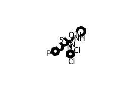 O=C(NN1CCCCCC1)c1nn(-c2ccc(Cl)cc2Cl)c2c1CSC/C2=C\c1ccc(F)cc1